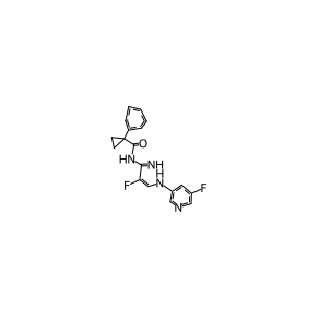 N=C(NC(=O)C1(c2ccccc2)CC1)/C(F)=C\Nc1cncc(F)c1